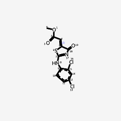 COC(=O)/C=C1\SC(Nc2ccc(Cl)cc2Cl)=NC1=O